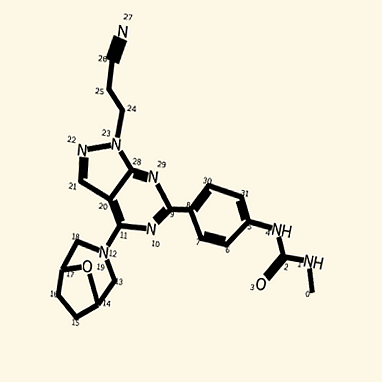 CNC(=O)Nc1ccc(-c2nc(N3CC4CCC(C3)O4)c3cnn(CCC#N)c3n2)cc1